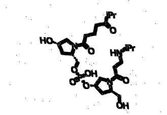 CC(C)NCCC(=O)N1C[C@@H](OP(=O)(O)OC[C@@H]2C[C@H](O)CN2C(=O)CCCC(=O)C(C)C)C[C@@H]1CO